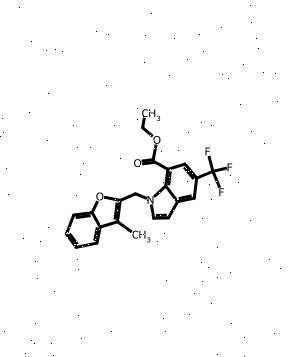 CCOC(=O)c1cc(C(F)(F)F)cc2ccn(Cc3oc4ccccc4c3C)c12